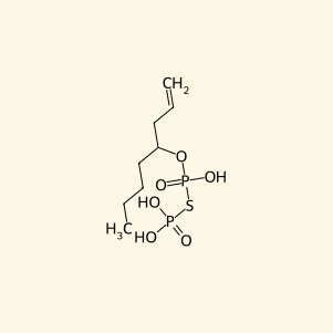 C=CCC(CCCC)OP(=O)(O)SP(=O)(O)O